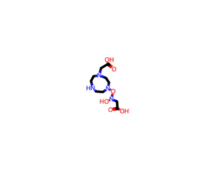 O=C(O)CN1CCNCCN(ON(O)CC(=O)O)CC1